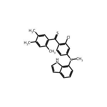 Cc1cc(C)c(C(=S)c2ccc(N(C)c3cccc4cc[nH]c34)cc2Cl)cc1C